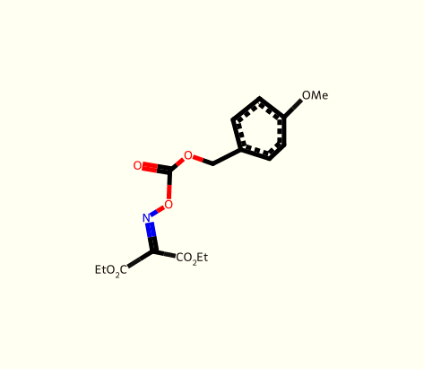 CCOC(=O)C(=NOC(=O)OCc1ccc(OC)cc1)C(=O)OCC